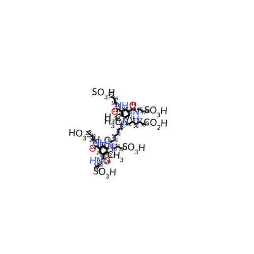 C\C(=C/C=C/C=C/C(C)=[N+](\CCCS(=O)(=O)O)c1cc(C(=O)NCCS(=O)(=O)O)cc(C(=O)NCCS(=O)(=O)O)c1C)N(CCCCCC(=O)O)c1cc(C(=O)NCCS(=O)(=O)O)cc(C(=O)NCCCS(=O)(=O)O)c1C